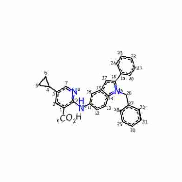 O=C(O)c1cc(C2CC2)cnc1Nc1ccc2c(c1)cc(-c1ccccc1)n2Cc1ccccc1